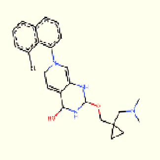 CCc1cccc2cccc(N3C=C4NC(OCC5(CN(C)C)CC5)NC(O)C4=CC3)c12